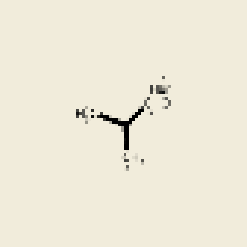 Br.CC(C)C=O